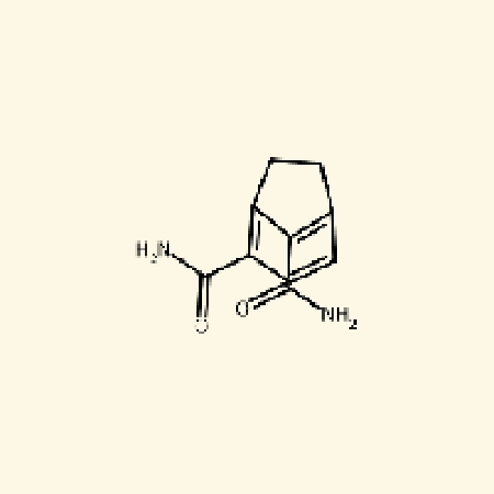 NC(=O)c1ccc2c(C(N)=O)c1CC2